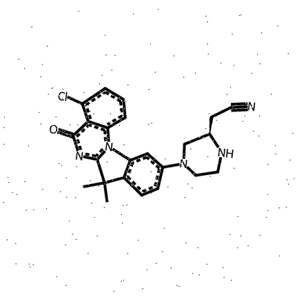 CC1(C)c2ccc(N3CCN[C@H](CC#N)C3)cc2-n2c1nc(=O)c1c(Cl)cccc12